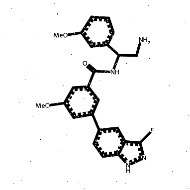 COc1cc(C(=O)NC(CN)c2cccc(OC)c2)cc(-c2ccc3[nH]nc(F)c3c2)c1